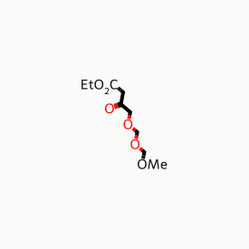 CCOC(=O)CC(=O)COCOCOC